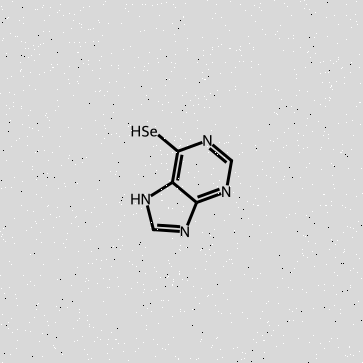 [SeH]c1ncnc2nc[nH]c12